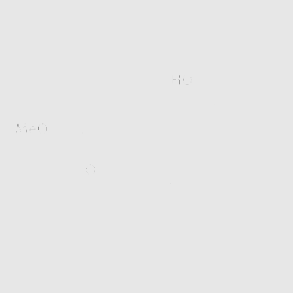 COC(=O)c1ccccc1.Oc1ccccc1Cc1ccccc1